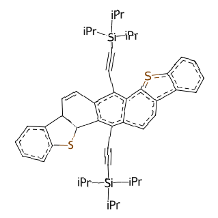 CC(C)[Si](C#Cc1c2c(c(C#C[Si](C(C)C)(C(C)C)C(C)C)c3c1ccc1c4ccccc4sc13)C=CC1c3ccccc3SC21)(C(C)C)C(C)C